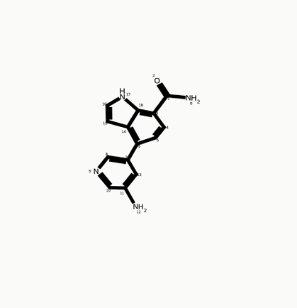 NC(=O)c1ccc(-c2cncc(N)c2)c2cc[nH]c12